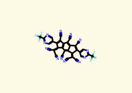 N#CC(C#N)=C1C(c2cnc(C(F)(F)F)nc2)=C(C#N)c2c(C#N)c3c(c(C#N)c21)C(=C(C#N)C#N)C(c1cnc(C(F)(F)F)nc1)=C3C#N